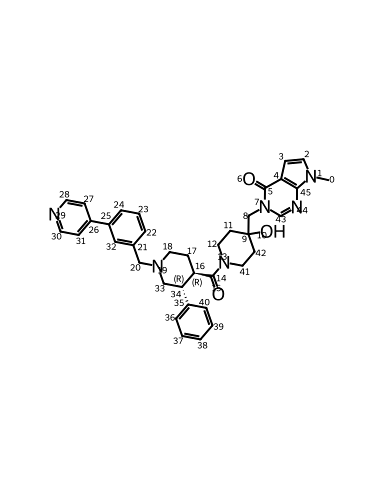 Cn1ccc2c(=O)n(CC3(O)CCN(C(=O)[C@@H]4CCN(Cc5cccc(-c6ccncc6)c5)C[C@H]4c4ccccc4)CC3)cnc21